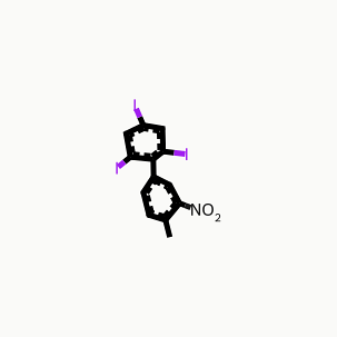 Cc1ccc(-c2c(I)cc(I)cc2I)cc1[N+](=O)[O-]